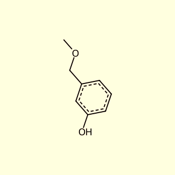 COCc1cccc(O)c1